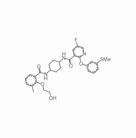 CSc1cccc(Oc2ncc(F)cc2C(=O)NC2CCC(NC(=O)c3cccc(C)c3OCCO)CC2)c1